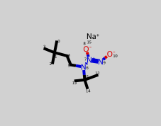 CC(C)(C)CCN([N+]([O-])=N[O-])C(C)(C)C.[Na+]